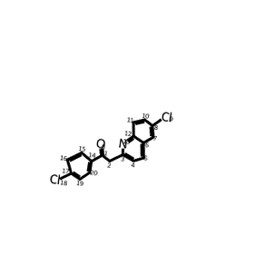 O=C(Cc1ccc2cc(Cl)ccc2n1)c1ccc(Cl)cc1